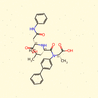 CC(C)C[C@H](N[C@@H](CC(=O)Nc1ccccc1)C(=O)O)C(=O)N(c1ccc(-c2ccccc2)cc1)[C@@H](C)C(=O)O